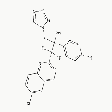 OC(Cn1cnnn1)(c1ccc(F)cc1)C(F)(F)c1ccc2cc(Cl)ccc2n1